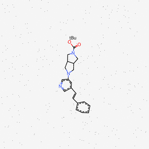 CC(C)(C)OC(=O)N1CC2CN(c3cncc(C=Cc4ccccc4)c3)CC2C1